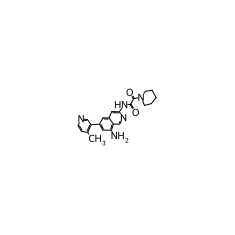 Cc1ccncc1-c1cc(N)c2cnc(NC(=O)C(=O)N3CCCCC3)cc2c1